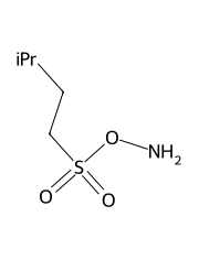 CC(C)CCS(=O)(=O)ON